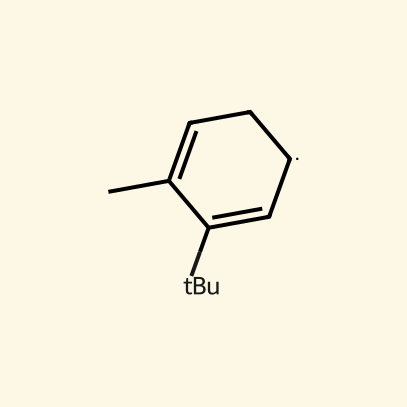 CC1=CC[CH]C=C1C(C)(C)C